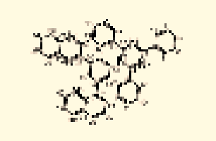 c1ccc(-c2nc(-c3ccccc3)nc(-c3cccc(-c4nc5ccccc5nc4-c4cccc(-c5cccc6cccnc56)c4)c3)n2)cc1